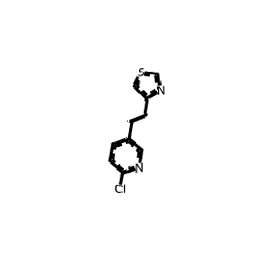 Clc1ccc([CH]Cc2cscn2)cn1